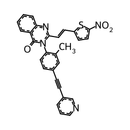 Cc1cc(C#Cc2cccnc2)ccc1-n1c(/C=C/c2ccc([N+](=O)[O-])s2)nc2ccccc2c1=O